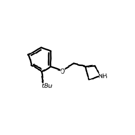 CC(C)(C)c1ccccc1OCC1CNC1